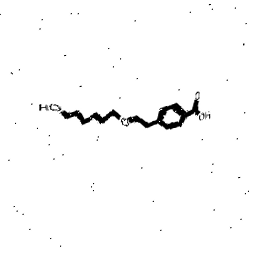 O=C(O)c1ccc(CCOCCCCCCO)cc1